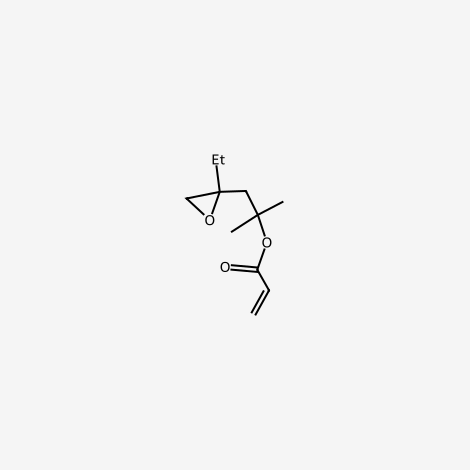 C=CC(=O)OC(C)(C)CC1(CC)CO1